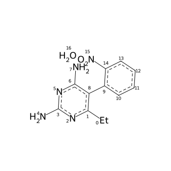 CCc1nc(N)nc(N)c1-c1ccccc1[N+](=O)[O-].O